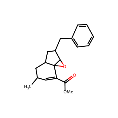 COC(=O)C1=CC(C)CC2CC(Cc3ccccc3)C3OC123